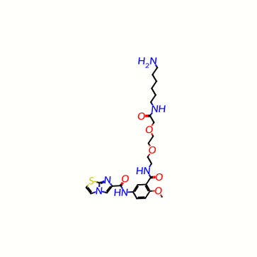 COc1ccc(NC(=O)c2cn3ccsc3n2)cc1C(=O)NCCOCCOCC(=O)NCCCCCCN